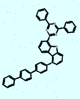 c1ccc(-c2ccc(-c3ccc(-c4cccc5sc6c(-c7nc(-c8ccccc8)nc(-c8ccccc8)n7)cccc6c45)cc3)cc2)cc1